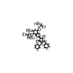 CCCCC(CC)COc1cc(C(C)(C)C)c(OCC(CC)CCCC)c2c1SC(=C1C(=O)N(Cc3ccccc3)N(Cc3ccccc3)C1=O)S2